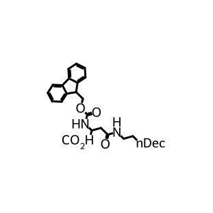 CCCCCCCCCCCCNC(=O)CC(NC(=O)OCC1c2ccccc2-c2ccccc21)C(=O)O